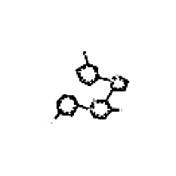 O=c1ccn(-c2cccc(C(F)(F)F)c2)nc1-c1ccnn1-c1cccc(F)c1